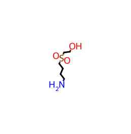 NCCCCS(=O)(=O)CCO